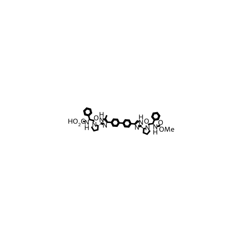 COC(=O)N[C@@H](C(=O)N1CCC[C@H]1c1nc(-c2ccc(-c3ccc(-c4nc([C@@H]5CCCN5C(=O)[C@H](NC(=O)O)c5ccccc5)[nH]c4C)cc3)cc2)c[nH]1)c1ccccc1